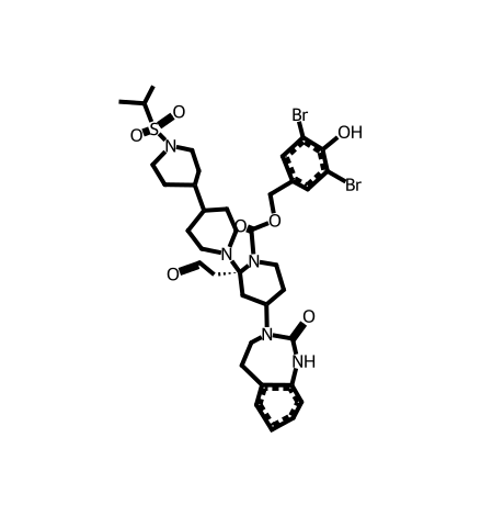 CC(C)S(=O)(=O)N1CCC(C2CCN([C@]3(CC=O)CC(N4CCc5ccccc5NC4=O)CCN3C(=O)OCc3cc(Br)c(O)c(Br)c3)CC2)CC1